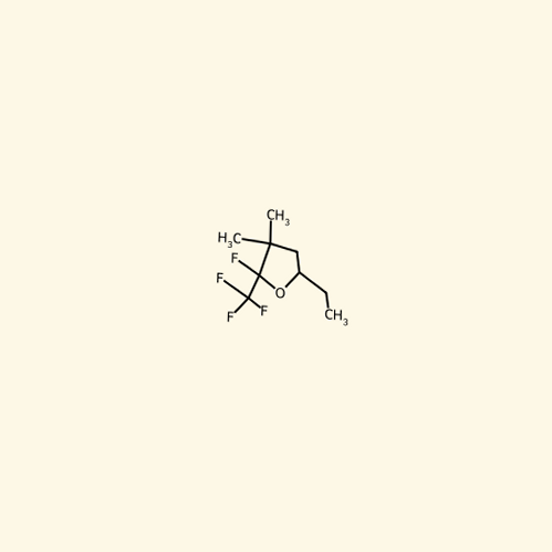 CCC1CC(C)(C)C(F)(C(F)(F)F)O1